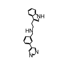 c1cc(CNCCc2c[nH]c3ccccc23)cc(-c2cncnc2)c1